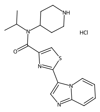 CC(C)N(C(=O)c1csc(-c2cnc3ccccn23)n1)C1CCNCC1.Cl